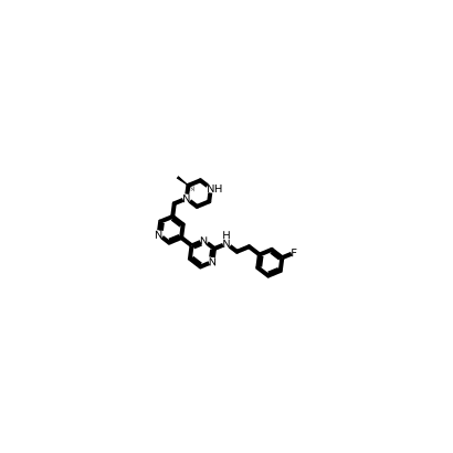 C[C@H]1CNCCN1Cc1cncc(-c2ccnc(NCCc3cccc(F)c3)n2)c1